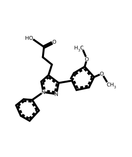 COc1ccc(-c2nn(-c3ccccc3)cc2CCC(=O)O)cc1OC